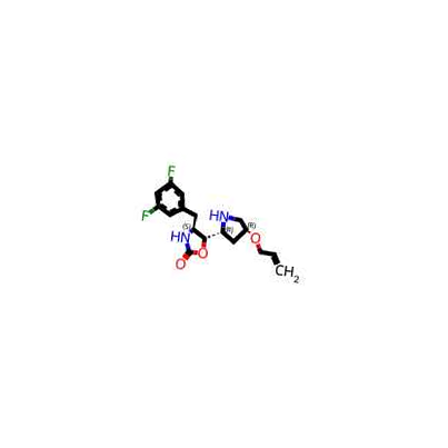 C=CCO[C@H]1CN[C@@H](C2OC(=O)N[C@H]2Cc2cc(F)cc(F)c2)C1